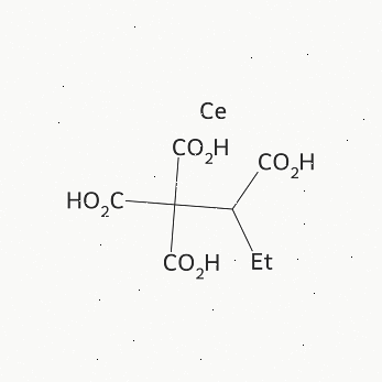 CCC(C(=O)O)C(C(=O)O)(C(=O)O)C(=O)O.[Ce]